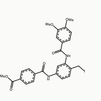 COC(=O)c1ccc(C(=O)Nc2ccc(CI)c(NC(=O)c3ccc(OC)c(OC)c3)c2)cc1